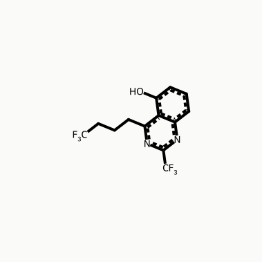 Oc1cccc2nc(C(F)(F)F)nc(CCCC(F)(F)F)c12